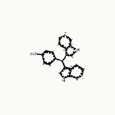 COc1ccc(C(c2c[nH]c3cnccc23)c2c[nH]c3cnccc23)cc1